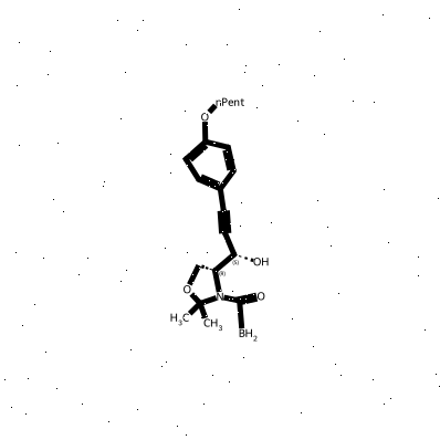 BC(=O)N1[C@@H]([C@@H](O)C#Cc2ccc(OCCCCC)cc2)COC1(C)C